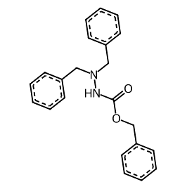 O=C(NN(Cc1ccccc1)Cc1ccccc1)OCc1ccccc1